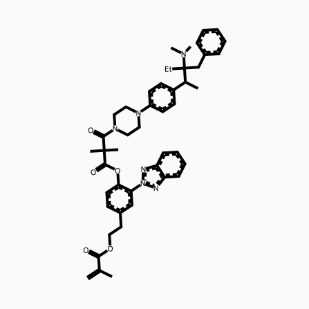 C=C(C)C(=O)OCCc1ccc(OC(=O)C(C)(C)C(=O)N2CCN(c3ccc(C(C)C(CC)(Cc4ccccc4)N(C)C)cc3)CC2)c(-n2nc3ccccc3n2)c1